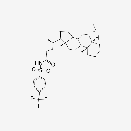 CC[C@H]1CC2C3CC[C@H]([C@H](C)CCC(=O)NS(=O)(=O)c4ccc(C(F)(F)F)cc4)[C@@]3(C)CCC2[C@@]2(C)CCCC[C@@H]12